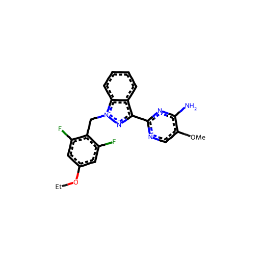 CCOc1cc(F)c(Cn2nc(-c3ncc(OC)c(N)n3)c3ccccc32)c(F)c1